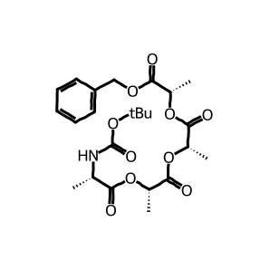 C[C@H](NC(=O)OC(C)(C)C)C(=O)O[C@@H](C)C(=O)O[C@@H](C)C(=O)O[C@@H](C)C(=O)OCc1ccccc1